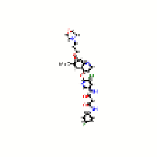 COc1cc2c(Oc3ncc(NC(=O)CC(=O)Nc4ccc(F)cc4)cc3Cl)ccnc2cc1OCCCN1CCOCC1